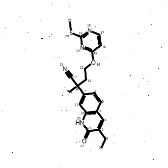 CCc1cc2ccc(C(C)(C#N)CCOc3ccnc(SC)n3)cc2[nH]c1=O